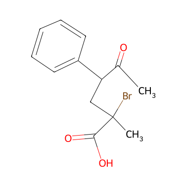 CC(=O)C(CC(C)(Br)C(=O)O)c1ccccc1